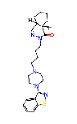 O=C1[C@H]2CCCC[C@H]2C=NN1CCCCN1CCN(c2nsc3ccccc23)CC1